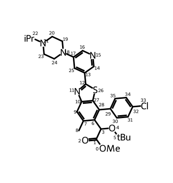 COC(=O)C(OC(C)(C)C)c1c(C)cc2nc(-c3cncc(N4CCN(C(C)C)CC4)c3)sc2c1-c1ccc(Cl)cc1